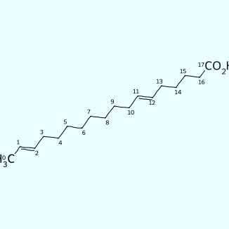 CC=CCCCCCCCCC=CCCCCC(=O)O